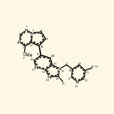 COc1ncnn2ccc(-c3cnc4nc(C)n(Cc5cncc(F)c5)c4c3)c12